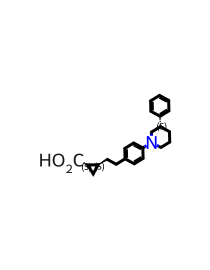 O=C(O)[C@H]1C[C@@H]1CCc1ccc(N2CCC[C@@H](c3ccccc3)C2)cc1